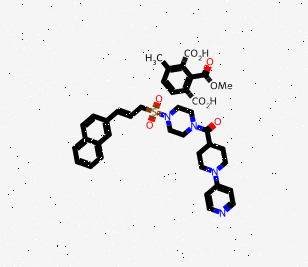 COC(=O)c1c(C(=O)O)ccc(C)c1C(=O)O.O=C(C1CCN(c2ccncc2)CC1)N1CCN(S(=O)(=O)CC=Cc2ccc3ccccc3c2)CC1